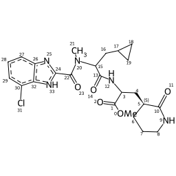 COC(=O)C(C[C@@H]1CCCNC1=O)NC(=O)C(CC1CC1)N(C)C(=O)c1nc2cccc(Cl)c2[nH]1